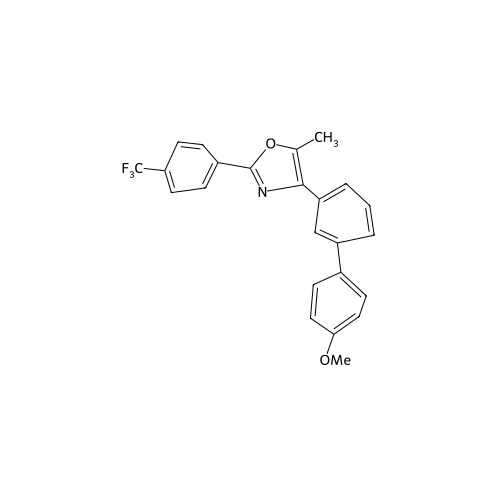 COc1ccc(-c2cccc(-c3nc(-c4ccc(C(F)(F)F)cc4)oc3C)c2)cc1